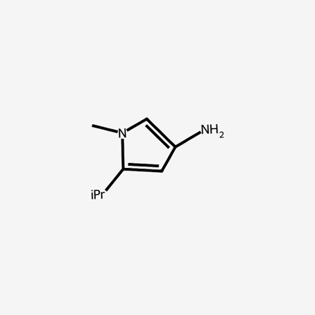 CC(C)c1cc(N)cn1C